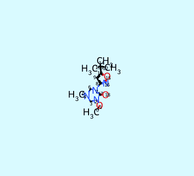 CON1CN(C)CN(c2cc(C(C)(C)C)on2)C1=O